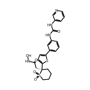 O=C(C[C@]1(c2ccc(-c3cccc(NC(=O)Nc4cccnc4)c3)s2)CCCCS1(=O)=O)NO